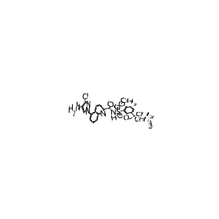 COc1ccc2c(c1S(=O)(=O)NC(=O)c1ccc3c(-n4cc(N)c(Cl)n4)cccc3n1)OCC2(C)C